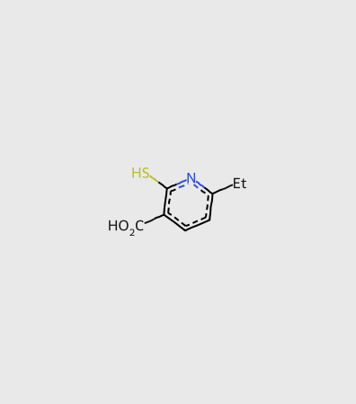 CCc1ccc(C(=O)O)c(S)n1